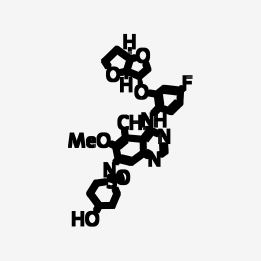 COc1c(N=S2(=O)CCC(O)CC2)cc2ncnc(Nc3ccc(F)cc3O[C@@H]3CO[C@@H]4CCO[C@@H]43)c2c1C